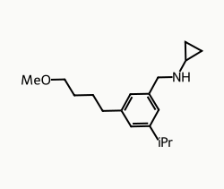 COCCCCc1cc(CNC2CC2)cc(C(C)C)c1